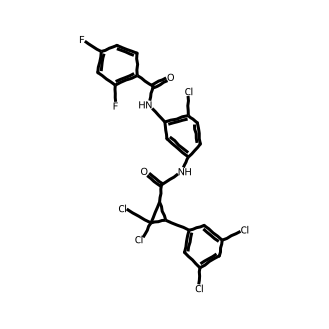 O=C(Nc1cc(NC(=O)C2C(c3cc(Cl)cc(Cl)c3)C2(Cl)Cl)ccc1Cl)c1ccc(F)cc1F